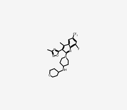 Cc1noc(-c2c(N3CCC(NC4CCOCC4)CC3)nc3c(F)cc(C(F)(F)F)cc3c2C)n1